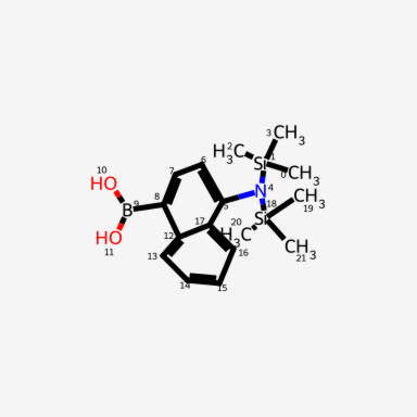 C[Si](C)(C)N(c1ccc(B(O)O)c2ccccc12)[Si](C)(C)C